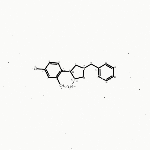 Cc1cc(Cl)ccc1[C@H]1CN(Cc2ccccc2)C[C@@H]1[N+](=O)[O-]